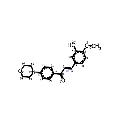 COc1ccc(/C=C/C(=O)c2ccc(N3CCOCC3)cc2)cc1O